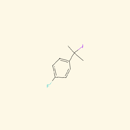 CC(C)(I)c1ccc(F)cc1